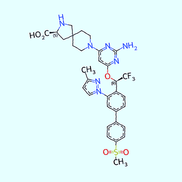 Cc1ccn(-c2cc(-c3ccc(S(C)(=O)=O)cc3)ccc2[C@@H](Oc2cc(N3CCC4(CC3)CN[C@H](C(=O)O)C4)nc(N)n2)C(F)(F)F)n1